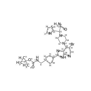 CC(C)(C)OC(=O)NCc1ccc(-c2nc3c(N4CCN(C(C(N)=O)c5nccs5)CC4)c(Br)cnc3[nH]2)cc1